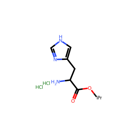 CC(C)OC(=O)C(N)Cc1c[nH]cn1.Cl.Cl